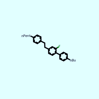 CCCCCc1ccc(CCc2ccc(-c3ccc(CCCC)cc3)c(F)c2)cc1